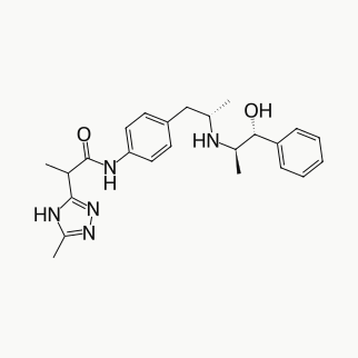 Cc1nnc(C(C)C(=O)Nc2ccc(C[C@H](C)N[C@H](C)[C@H](O)c3ccccc3)cc2)[nH]1